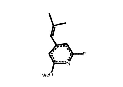 COc1cc(C=C(C)C)cc(F)n1